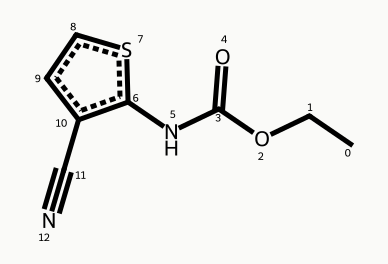 CCOC(=O)Nc1sccc1C#N